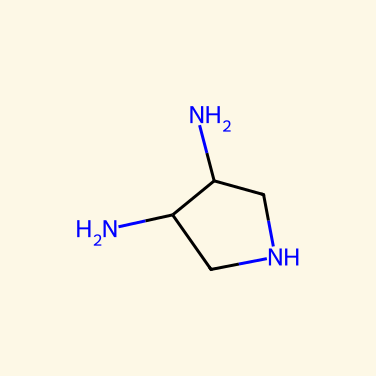 NC1CNCC1N